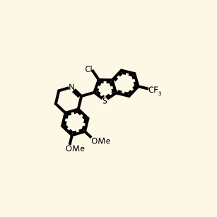 COc1cc2c(cc1OC)C(c1sc3cc(C(F)(F)F)ccc3c1Cl)=NCC2